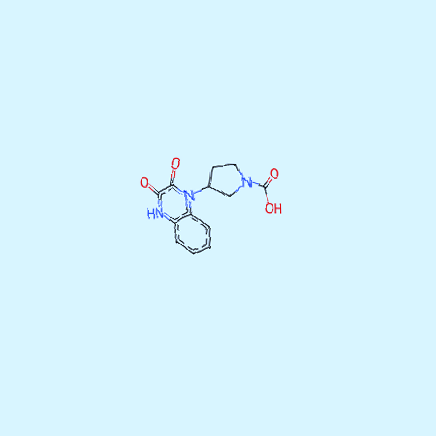 O=C(O)N1CCC(n2c(=O)c(=O)[nH]c3ccccc32)C1